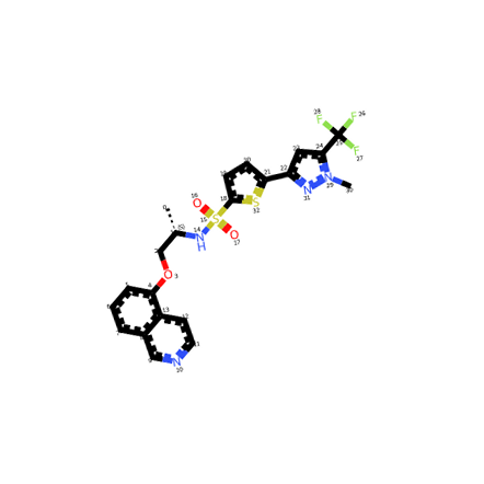 C[C@@H](COc1cccc2cnccc12)NS(=O)(=O)c1ccc(-c2cc(C(F)(F)F)n(C)n2)s1